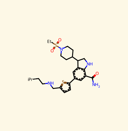 CCS(=O)(=O)N1CCC(C2CNc3c(C(N)=O)cc(-c4ccc(CNCCC(C)C)s4)cc32)CC1